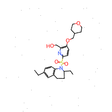 CCc1ccc2c(c1)CCC(CC)N2S(=O)(=O)c1ccc(OCC2CCOCC2)c(CO)n1